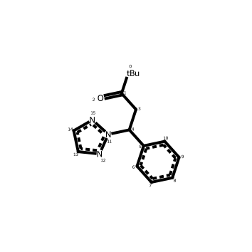 CC(C)(C)C(=O)CC(c1ccccc1)n1nccn1